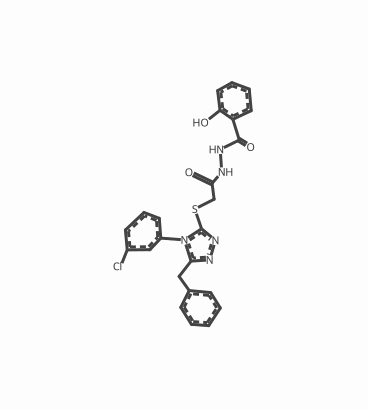 O=C(CSc1nnc(Cc2ccccc2)n1-c1cccc(Cl)c1)NNC(=O)c1ccccc1O